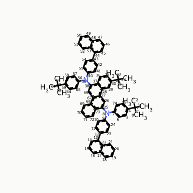 CC(C)(C)c1ccc(N(c2ccc(-c3cccc4ccccc34)cc2)c2cc3c4cc(C(C)(C)C)ccc4c(N(c4ccc(-c5cccc6ccccc56)cc4)c4ccc(C(C)(C)C)cc4)cc3c3ccccc23)cc1